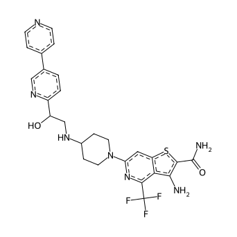 NC(=O)c1sc2cc(N3CCC(NCC(O)c4ccc(-c5ccncc5)cn4)CC3)nc(C(F)(F)F)c2c1N